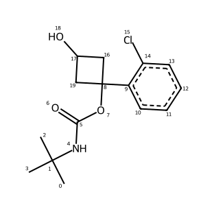 CC(C)(C)NC(=O)OC1(c2ccccc2Cl)CC(O)C1